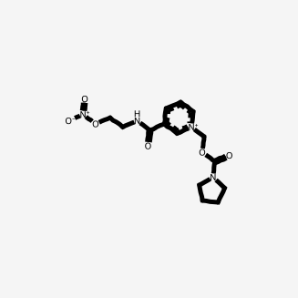 O=C(NCCO[N+](=O)[O-])c1ccc[n+](COC(=O)N2CCCC2)c1